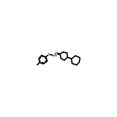 Cc1ccc(SNN=C2CCC(C3CCCCC3)CC2)cc1